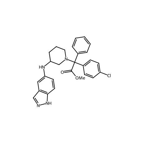 COC(=O)C(c1ccccc1)(c1ccc(Cl)cc1)N1CCCC(Nc2ccc3[nH]ncc3c2)C1